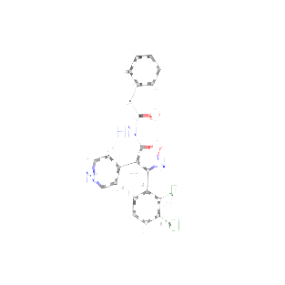 O=C(Cc1ccccc1)Nc1onc(-c2cccc(Cl)c2F)c1-c1ccncc1